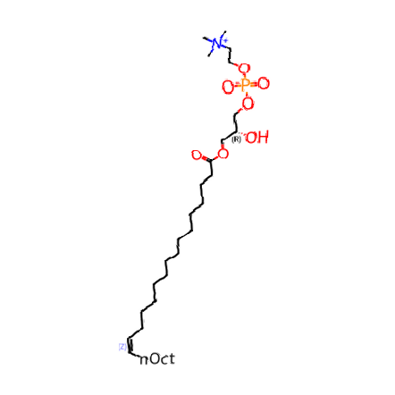 CCCCCCCC/C=C\CCCCCCCCCCCCCC(=O)OC[C@@H](O)COP(=O)([O-])OCC[N+](C)(C)C